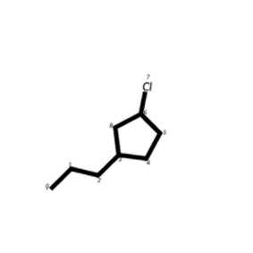 [CH2]CCC1CCC(Cl)C1